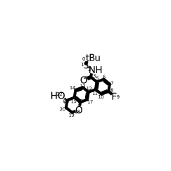 CC(C)(C)SNC(=O)c1ccc(F)cc1-c1ccc2c(c1)OCC[C@@H]2O